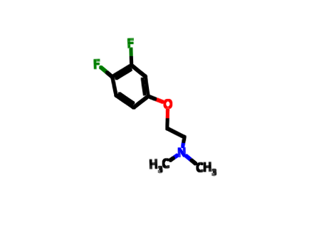 CN(C)CCOc1ccc(F)c(F)c1